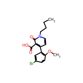 CCCCn1ccc(-c2cc(Br)ccc2OC)c(C(=O)O)c1=O